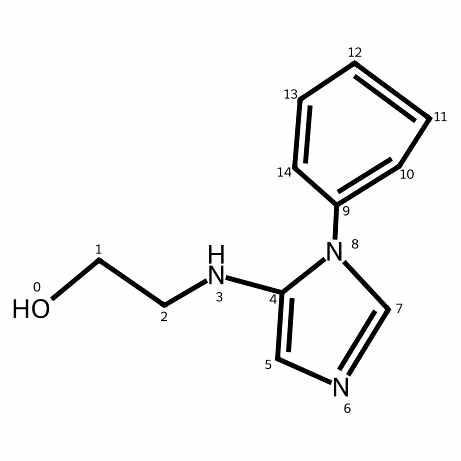 OCCNc1cncn1-c1ccccc1